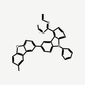 C=C/N=C(\N=C/C)c1cccc2c1c1cc(-c3ccc4oc5ccc(C)cc5c4c3)ccc1n2-c1ccccc1